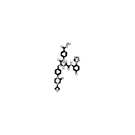 CC(C)(C)OC(=O)c1ccc(NC(=O)[C@H](Cc2ccc(N3CCN(C4COC4)CC3=O)cc2)NC(=O)C(=O)Nc2cc(Cl)ccc2-n2cnnn2)cc1